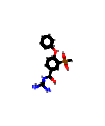 CS(=O)(=O)c1cc(C(=O)N=C(N)N)ccc1Oc1ccccc1